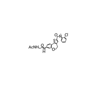 CC(=O)NCC(=O)Nc1ccc2c(c1)OCCc1cc(C(=O)N(C)c3ccccc3Cl)sc1-2